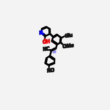 COc1c(/C=C(\C#N)c2ccc(N=O)cc2)cc(-c2cccnc2O)cc1C(C)(C)C